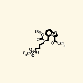 CC(C)(C)OC(=O)N(CCCCNS(=O)(=O)C(F)(F)F)Cc1cccc2ncc(C(=O)C(Cl)(Cl)Cl)n12